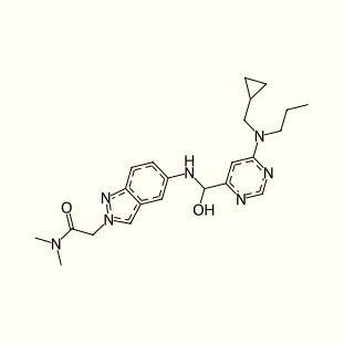 CCCN(CC1CC1)c1cc(C(O)Nc2ccc3nn(CC(=O)N(C)C)cc3c2)ncn1